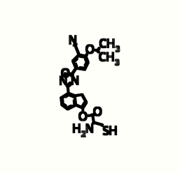 CC(C)Oc1ccc(-c2nc(-c3cccc4c3CC=C4OC(=O)C(N)CS)no2)cc1C#N